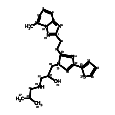 Cc1cccc2nc(CCc3nc(-c4cccs4)cn3CC(O)CNCC(C)C)nn12